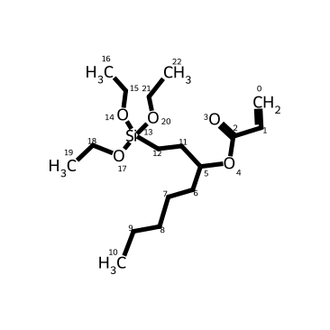 C=CC(=O)OC(CCCCC)CC[Si](OCC)(OCC)OCC